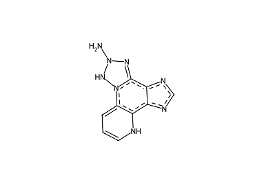 NN1N=c2c3ncnc-3c3c(n2N1)=CC=CN3